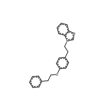 c1ccc(CCOc2ccc(CCn3cnc4ccccc43)cc2)cc1